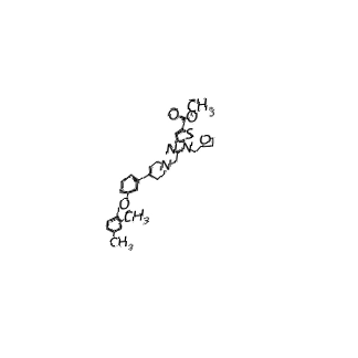 COC(=O)c1cc2nc(CN3CC=C(c4cccc(OCc5ccc(C)cc5C)c4)CC3)n(CC3CCO3)c2s1